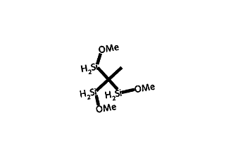 CO[SiH2]C(C)([SiH2]OC)[SiH2]OC